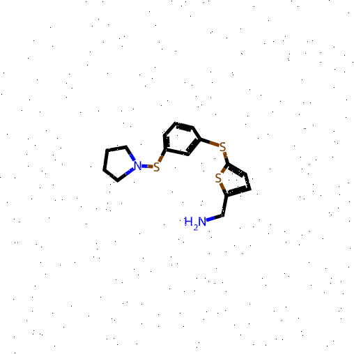 NCc1ccc(Sc2cccc(SN3CCCC3)c2)s1